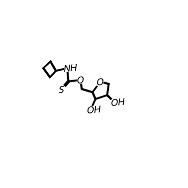 OC1COC(COC(=S)NC2CCC2)C1O